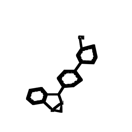 N#Cc1cccc(-c2ccc(C3c4ccccc4N4C[N@]34)cc2)c1